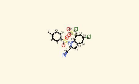 Cc1ccc(S(=O)(=O)n2c(C#N)cc3cc(Cl)cc(S(=O)(=O)Cl)c32)cc1